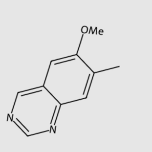 COc1cc2cncnc2cc1C